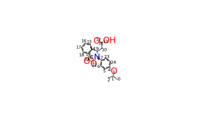 CC(C)Oc1ccc(N2C(CC(=O)O)c3ccccc3S2(=O)=O)cc1